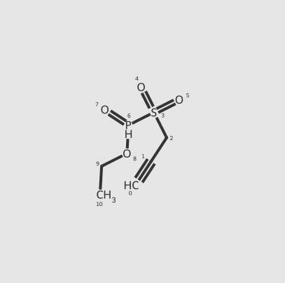 C#CCS(=O)(=O)[PH](=O)OCC